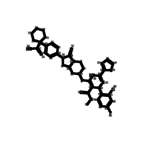 COC(=O)C1=C(CN2CCN3C(=O)N(c4ccc(C5(C(=O)O)CCCCC5)cc4)CC3C2)NC(c2nccs2)=NC1c1ccc(F)cc1Cl